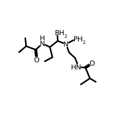 BC(C(CC)NC(=O)C(C)C)N(P)CCNC(=O)C(C)C